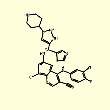 N#Cc1cnc2c(Cl)cc(N[C@H](C3=CN(C4CCNCC4)NN3)c3cncs3)cc2c1Nc1ccc(F)c(Cl)c1